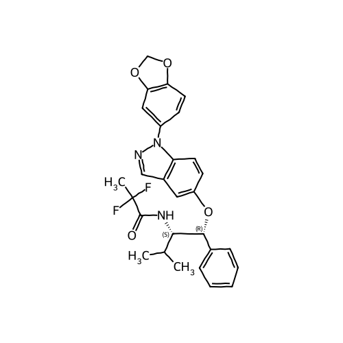 CC(C)[C@H](NC(=O)C(C)(F)F)[C@H](Oc1ccc2c(cnn2-c2ccc3c(c2)OCO3)c1)c1ccccc1